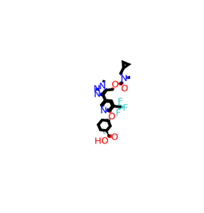 CN(CC1CC1)C(=O)OCc1c(-c2cnc(O[C@H]3CCC[C@H](C(=O)O)C3)c(C(F)(F)F)c2)nnn1C